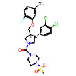 CS(=O)(=O)N1CCN(C(=O)N2C[C@@H](COc3cc(C(F)(F)F)ccc3F)[C@H](c3ccc(Cl)c(Cl)c3)C2)CC1